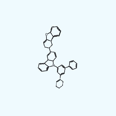 C1=CC2C(C=C1C1CC=C3Oc4ccccc4C3C1)c1ccccc1N2c1cc(C2=CCCCC2)cc(-c2ccccc2)c1